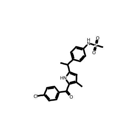 Cc1cc(C(C)c2ccc(NS(C)(=O)=O)cc2)[nH]c1C(=O)c1ccc(Cl)cc1